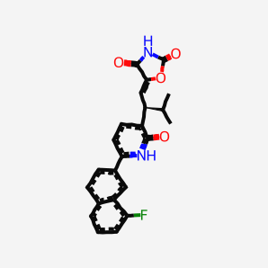 CC(C)[C@H](/C=C1\OC(=O)NC1=O)c1ccc(-c2ccc3cccc(F)c3c2)[nH]c1=O